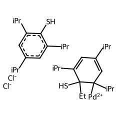 CC(C)c1cc(C(C)C)c(S)c(C(C)C)c1.CCC1(S)C(C(C)C)=CC(C(C)C)=C[C]1([Pd+2])C(C)C.[Cl-].[Cl-]